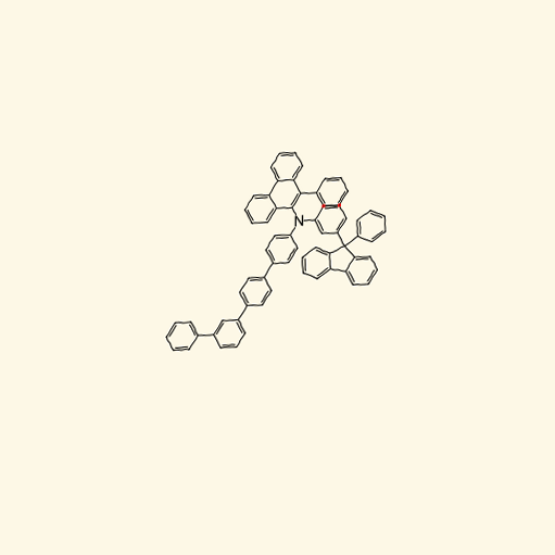 c1ccc(-c2cccc(-c3ccc(-c4ccc(N(c5cccc(C6(c7ccccc7)c7ccccc7-c7ccccc76)c5)c5c(-c6ccccc6)c6ccccc6c6ccccc56)cc4)cc3)c2)cc1